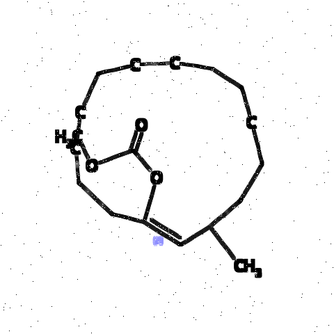 COC(=O)O/C1=C\C(C)CCCCCCCCCCCC1